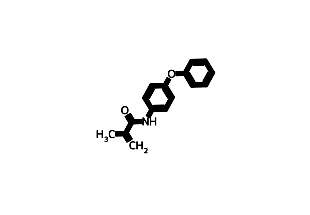 C=C(C)C(=O)Nc1ccc(Oc2ccccc2)cc1